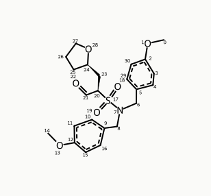 COc1ccc(CN(Cc2ccc(OC)cc2)S(=O)(=O)[C@@H](C=O)C[C@H]2CCCO2)cc1